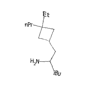 CCCC1(CC)CC(CC(N)C(C)CC)C1